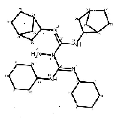 NN(C(=NC1CCCCC1)NC1CCCCC1)C(=NC1CC2CCC1C2)NC1CC2CCC1C2